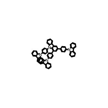 c1ccc2c(c1)c1ccccc1n2-c1ccc(-c2cc(-c3ccc(-n4c5ccccc5c5ccccc54)cc3)c3c(c2)c2ccccc2n3-c2ccc(-n3c4ccccc4c4ccccc43)cc2)cc1